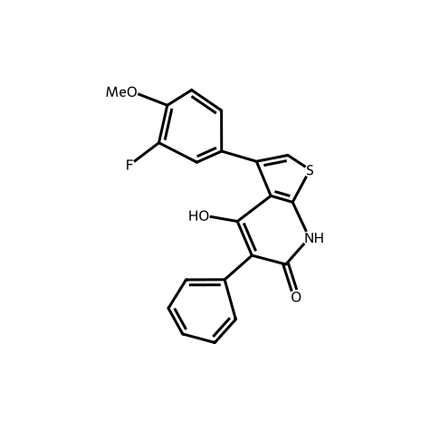 COc1ccc(-c2csc3[nH]c(=O)c(-c4ccccc4)c(O)c23)cc1F